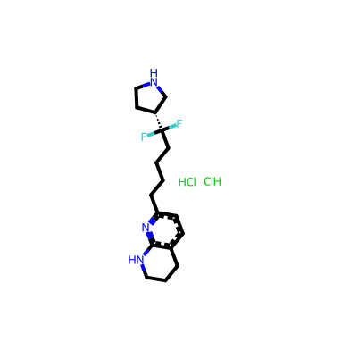 Cl.Cl.FC(F)(CCCCc1ccc2c(n1)NCCC2)[C@@H]1CCNC1